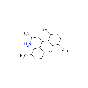 CC(N)CC(C1CC(C)CCC1C(C)C)C1CC(C)CCC1C(C)C